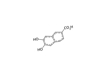 O=C(O)c1ccc2cc(O)c(O)cc2c1